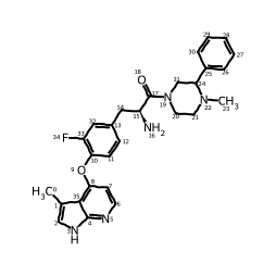 Cc1c[nH]c2nccc(Oc3ccc(C[C@H](N)C(=O)N4CCN(C)C(c5ccccc5)C4)cc3F)c12